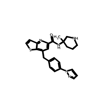 CC1(NC(=O)c2cc(Cc3ccc(-n4cccn4)cc3)c3sccc3n2)CCCNC1